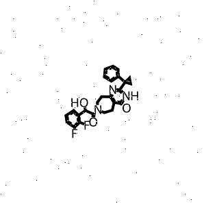 O=C(C(O)c1cccc(F)c1F)N1CCc2nc(C3(c4ccccc4)CC3)[nH]c(=O)c2CC1